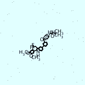 COc1ccc(-c2[nH]c3ccc(-c4cccc(C(=O)N5CCN(CC(=O)NC(C)C)CC5)c4)cc3c2CC(F)(F)F)cc1OC